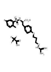 Cc1ccc(F)cc1S(=O)(=O)N[C@@H](Cc1ccc(OCCCONC(=N)N)cc1)C(=O)O.O=C(O)C(F)(F)F